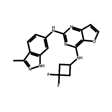 Cc1n[nH]c2cc(Nc3nc(NC4CC(F)(F)C4)c4occc4n3)ccc12